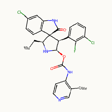 COc1cnccc1NC(=O)O[C@H]1N[C@@H](CC(C)(C)C)[C@@]2(C(=O)Nc3cc(Cl)ccc32)[C@H]1c1cccc(Cl)c1F